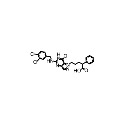 O=C(O)C(CCCn1ncc2nc(NCc3ccc(Cl)c(Cl)c3)[nH]c(=O)c21)c1ccccc1